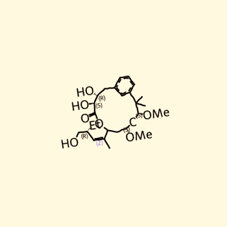 CC[C@H](/C=C(/C)C1C[C@@H](OC)C[C@H](OC)C(C)(C)c2cccc(c2)C[C@@H](O)[C@H](O)C(=O)O1)CO